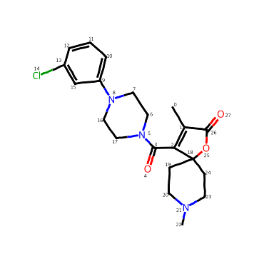 CC1=C(C(=O)N2CCN(c3cccc(Cl)c3)CC2)C2(CCN(C)CC2)OC1=O